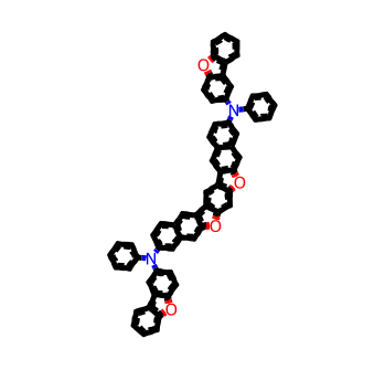 c1ccc(N(c2ccc3cc4c(cc3c2)oc2cc3oc5cc6cc(N(c7ccccc7)c7ccc8oc9ccccc9c8c7)ccc6cc5c3cc24)c2ccc3oc4ccccc4c3c2)cc1